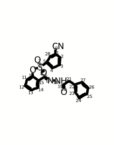 N#Cc1cccc(S(=O)(=O)Oc2ccccc2/C=N/NC(=O)Cc2ccccc2)c1